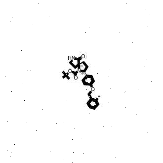 CC(C)(C)OC(=O)N1[C@@H](c2ccc(OCc3ccccc3F)cc2)CC[C@]12CCNC2=O